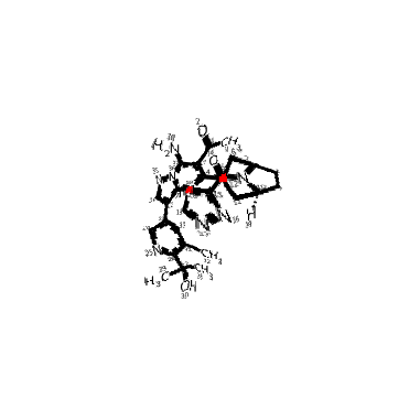 CC(=O)c1c(C2CC3CC[C@@H](C2)N3C(=O)c2nnc[nH]2)nc2c(-c3cnc(C(C)(C)O)c(C)c3)cnn2c1N